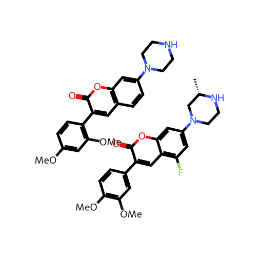 COc1ccc(-c2cc3c(F)cc(N4CCN[C@@H](C)C4)cc3oc2=O)cc1OC.COc1ccc(-c2cc3ccc(N4CCNCC4)cc3oc2=O)c(OC)c1